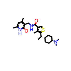 Cc1cc(C)c(CNC(=O)c2csc(C(C)[C@H]3CC[C@H](N(C)C)CC3)c2C)c(=O)[nH]1